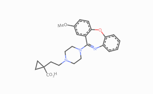 COc1ccc2c(c1)C(N1CCN(CCC3(C(=O)O)CC3)CC1)=Nc1ccccc1O2